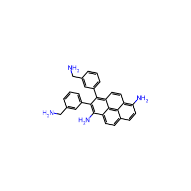 NCc1cccc(-c2c(N)c3ccc4ccc(N)c5ccc(c2-c2cccc(CN)c2)c3c45)c1